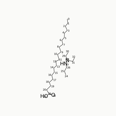 CCCCCCCCCCCCCCCCCCCCCC(=O)O.CCCNN(CC)CC